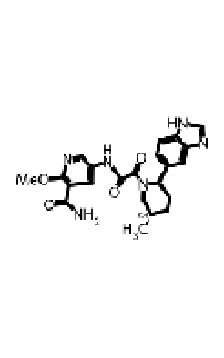 COc1ncc(NC(=O)C(=O)N2C[C@@H](C)CCC2c2ccc3[nH]cnc3c2)cc1C(N)=O